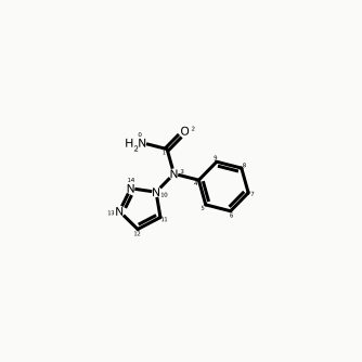 NC(=O)N(c1ccccc1)n1ccnn1